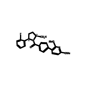 COc1ccc(-c2ccc(C(=O)N3[C@@H](c4ccccc4F)CC[C@H]3C(=O)O)cc2)c(OC)n1